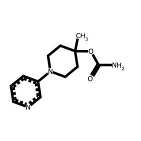 CC1(OC(N)=O)CCN(c2cccnc2)CC1